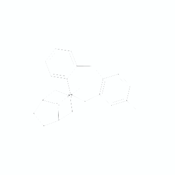 CN1CC2CCC(C1)N2C1Cc2cc(Cl)ccc2Oc2ccccc21